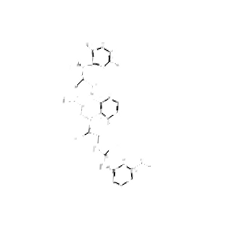 CCC(C)CCN(C(=O)CNC(=O)Nc1cccc(CC(=O)O)c1)c1ccccc1OCC(=O)N(C)c1cc(F)ccc1F